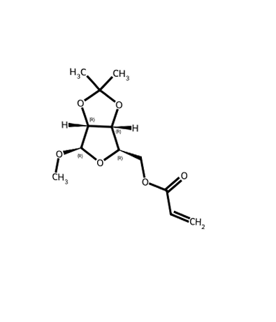 C=CC(=O)OC[C@H]1O[C@@H](OC)[C@@H]2OC(C)(C)O[C@@H]21